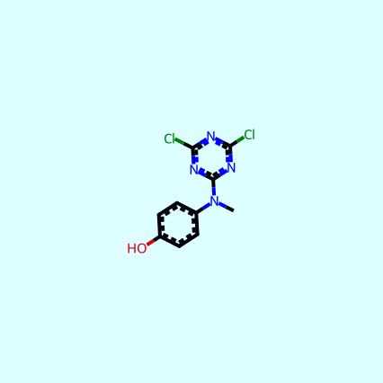 CN(c1ccc(O)cc1)c1nc(Cl)nc(Cl)n1